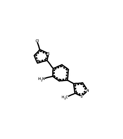 Cc1sncc1-c1ccc(-c2ccc(Cl)s2)c(N)c1